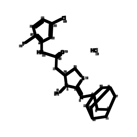 CC(C)N1C(=NC23CC4CC(CC(C4)C2)C3)SCC1CC(=O)Nc1cc(Cl)ccc1F.Cl